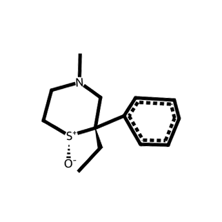 CC[C@]1(c2ccccc2)CN(C)CC[S@@+]1[O-]